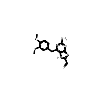 COc1ccc(Cc2nc(N)nc3nc(C=O)[nH]c23)cc1OC